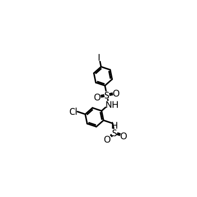 O=[SH](=O)Cc1ccc(Cl)cc1NS(=O)(=O)c1ccc(I)cc1